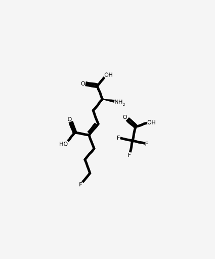 N[C@@H](C/C=C(/CCCF)C(=O)O)C(=O)O.O=C(O)C(F)(F)F